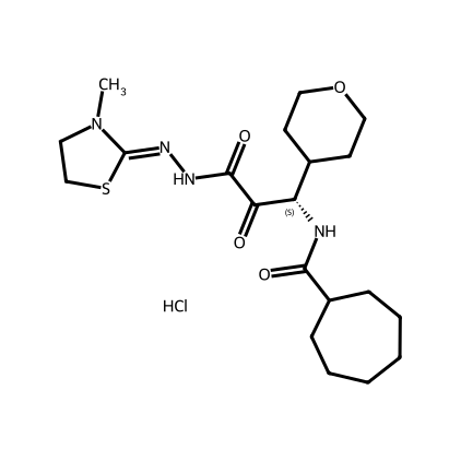 CN1CCSC1=NNC(=O)C(=O)[C@@H](NC(=O)C1CCCCCC1)C1CCOCC1.Cl